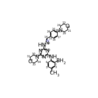 Bc1cc(C)ccc1Nc1nc(N/N=C/c2ccc(N3CCOCC3)cc2)nc(N2CCOCC2)n1